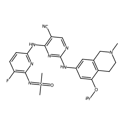 CC(C)Oc1cc(Nc2ncc(C#N)c(Nc3ccc(F)c(N=S(C)(C)=O)n3)n2)cc2c1CCN(C)C2